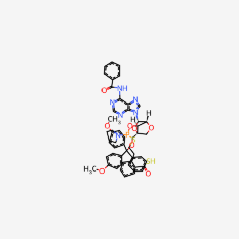 COc1ccc(C(OC[C@@]23CO[C@@H]([C@H](n4cnc5c(NC(=O)c6ccccc6)ncnc54)O2)[C@@H]3OP(SCCc2ccccc2C(=O)S)N2CCCC2)(c2ccccc2)c2ccc(OC)cc2)cc1